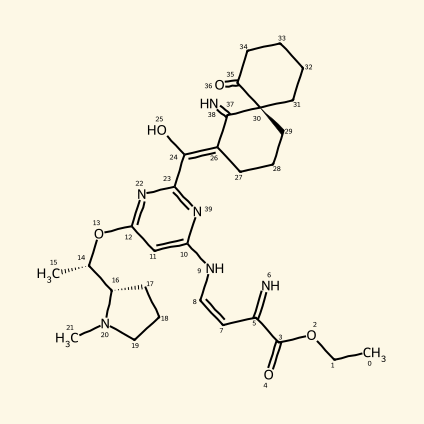 CCOC(=O)C(=N)/C=C\Nc1cc(O[C@@H](C)[C@@H]2CCCN2C)nc(/C(O)=C2\CCC[C@@]3(CCCCC3=O)C2=N)n1